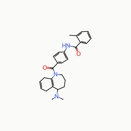 Cc1ccccc1C(=O)Nc1ccc(C(=O)N2CCCC(N(C)C)C3=C2CC=CC3)cc1